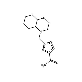 NC(=O)c1csc(CN2CCOC3CCCCC32)n1